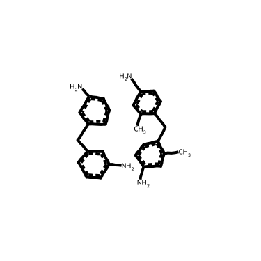 Cc1cc(N)ccc1Cc1ccc(N)cc1C.Nc1cccc(Cc2cccc(N)c2)c1